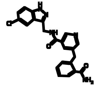 NC(=O)c1ccccc1Cc1cncc(C(=O)NCc2n[nH]c3ccc(Cl)cc23)c1